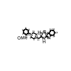 COc1ccccc1N1CCN(CC(=O)Nc2nc3ccccc3n2C)CC1